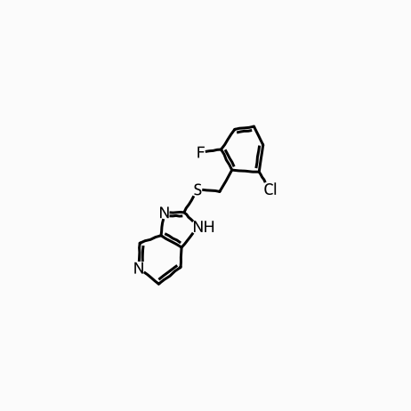 Fc1cccc(Cl)c1CSc1nc2cnccc2[nH]1